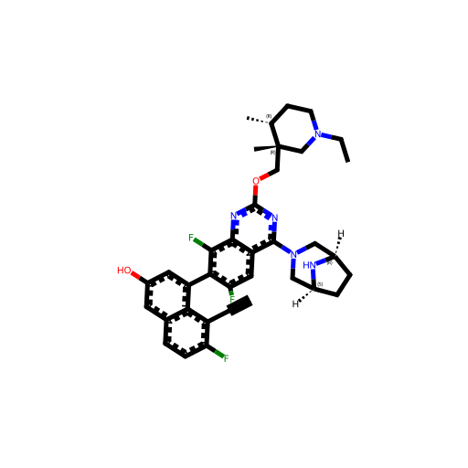 C#Cc1c(F)ccc2cc(O)cc(-c3c(F)cc4c(N5C[C@H]6CC[C@@H](C5)N6)nc(OC[C@@]5(C)CN(CC)CC[C@H]5C)nc4c3F)c12